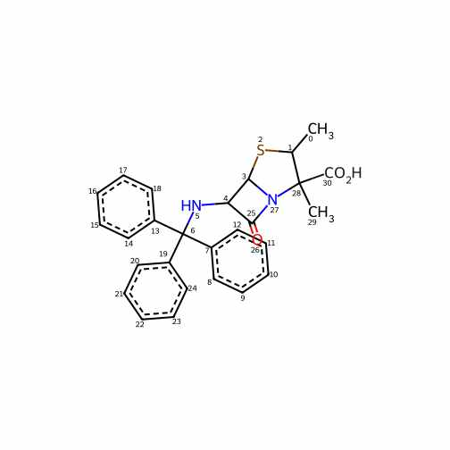 CC1SC2C(NC(c3ccccc3)(c3ccccc3)c3ccccc3)C(=O)N2C1(C)C(=O)O